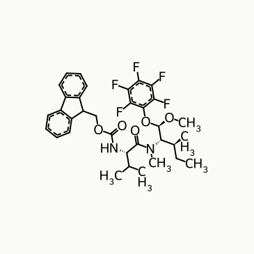 CC[C@H](C)[C@@H]([C@H](OC)Oc1c(F)c(F)c(F)c(F)c1F)N(C)C(=O)[C@@H](NC(=O)OCC1c2ccccc2-c2ccccc21)C(C)C